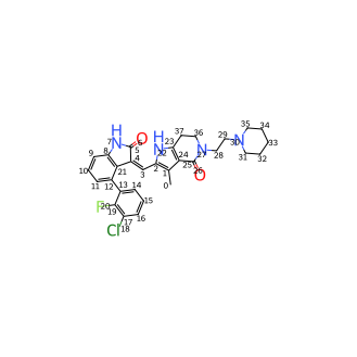 Cc1c(C=C2C(=O)Nc3cccc(-c4cccc(Cl)c4F)c32)[nH]c2c1C(=O)N(CCN1CCCCC1)CC2